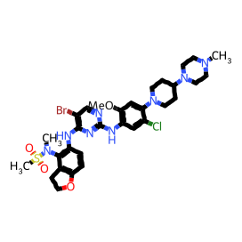 COc1cc(N2CCC(N3CCN(C)CC3)CC2)c(Cl)cc1Nc1ncc(Br)c(Nc2ccc3c(c2N(C)S(C)(=O)=O)CCO3)n1